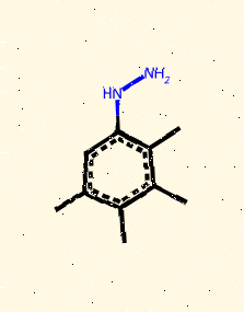 Cc1cc(NN)c(C)c(C)c1C